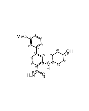 COc1cccc(-c2ccc(C(N)=O)c(NC3CCC(O)CC3)c2)c1